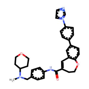 CN(Cc1ccc(NC(=O)C2=Cc3cc(-c4ccc(-n5ccnc5)cc4)ccc3OCC2)cc1)C1CCOCC1